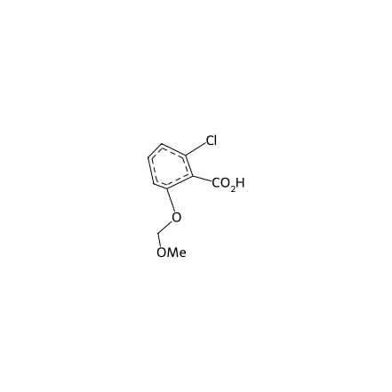 COCOc1cccc(Cl)c1C(=O)O